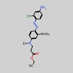 CCN(CCC(=O)OCC#N)c1ccc(/N=N/c2ccc(N)cc2Cl)c(NC(C)=O)c1